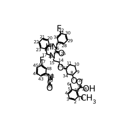 Cc1cccc(COC2CCCC(OCCN(Cc3ccccc3)C(=O)Nc3cccc(F)c3)C2)c1C(=O)O.O=C=Nc1cccc(F)c1